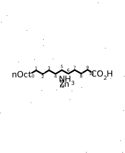 CCCCCCCCCCCCCCCCCC(=O)O.N.[Zn]